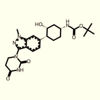 Cn1nc(N2CCC(=O)NC2=O)c2ccc([C@H]3CC[C@@H](NC(=O)OC(C)(C)C)C[C@H]3O)cc21